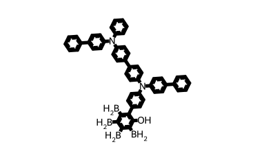 Bc1c(B)c(B)c(-c2ccc(N(c3ccc(-c4ccccc4)cc3)c3ccc(-c4ccc(N(c5ccccc5)c5ccc(-c6ccccc6)cc5)cc4)cc3)cc2)c(O)c1B